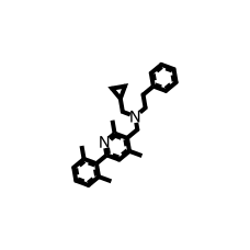 Cc1cc(-c2c(C)cccc2C)nc(C)c1CN(CCc1ccccc1)CC1CC1